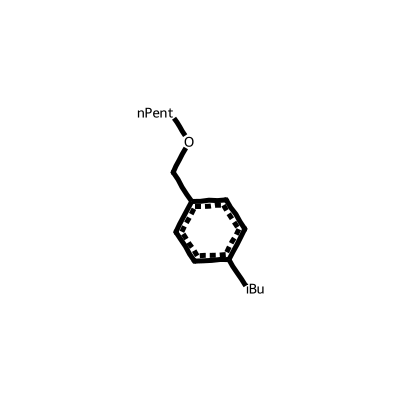 CCCCCOCc1ccc(C(C)CC)cc1